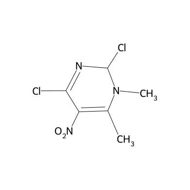 CC1=C([N+](=O)[O-])C(Cl)=NC(Cl)N1C